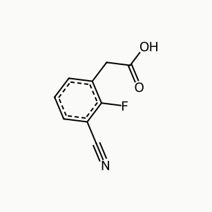 N#Cc1cccc(CC(=O)O)c1F